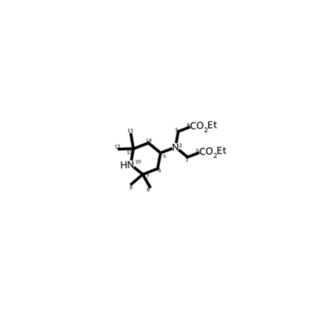 CCOC(=O)CN(CC(=O)OCC)C1CC(C)(C)NC(C)(C)C1